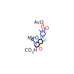 COc1c(N2CCN(C(=O)OCOC(C)=O)C(C)C2)c(F)cc2c(=O)c(C(=O)O)cn(C3CC3)c12